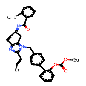 CCC=Cc1nc2c(n1Cc1ccc(-c3ccccc3OC(=O)OC(C)(C)C)cc1)C/C(=N\C(=O)c1ccccc1C=O)C=C2